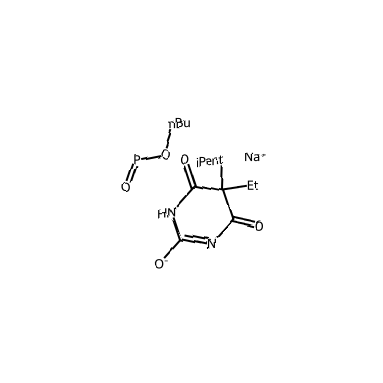 CCCC(C)C1(CC)C(=O)N=C([O-])NC1=O.CCCCOP=O.[Na+]